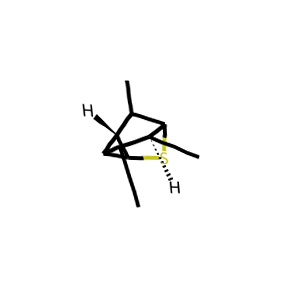 CC1C2C3SC(C(C)[C@H]32)[C@H]1C